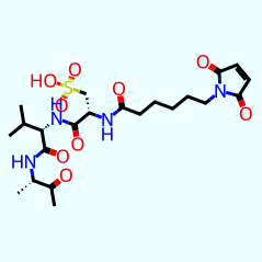 CC(=O)[C@H](C)NC(=O)[C@@H](NC(=O)[C@H](CS(=O)(=O)O)NC(=O)CCCCCN1C(=O)C=CC1=O)C(C)C